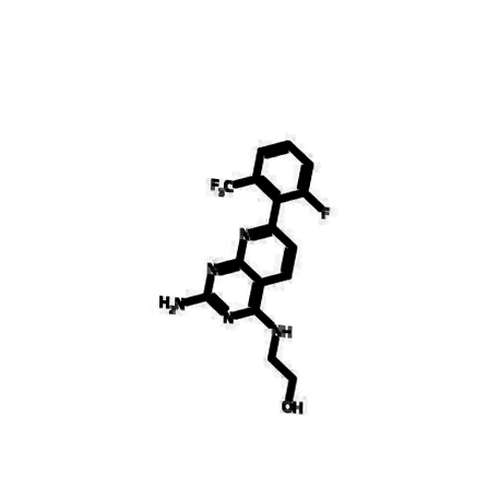 Nc1nc(NCCO)c2ccc(-c3c(F)cccc3C(F)(F)F)nc2n1